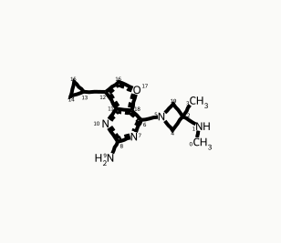 CNC1(C)CN(c2nc(N)nc3c(C4CC4)coc23)C1